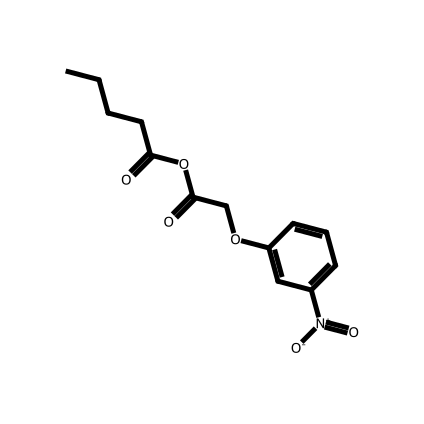 CCCCC(=O)OC(=O)COc1cccc([N+](=O)[O-])c1